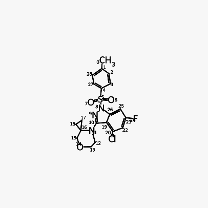 Cc1ccc(S(=O)(=O)n2nc(N3CCOCC34CC4)c3c(Cl)cc(F)cc32)cc1